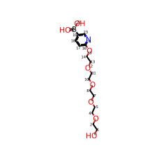 OCCOCCOCCOCCOCCOc1ccc(B(O)O)cn1